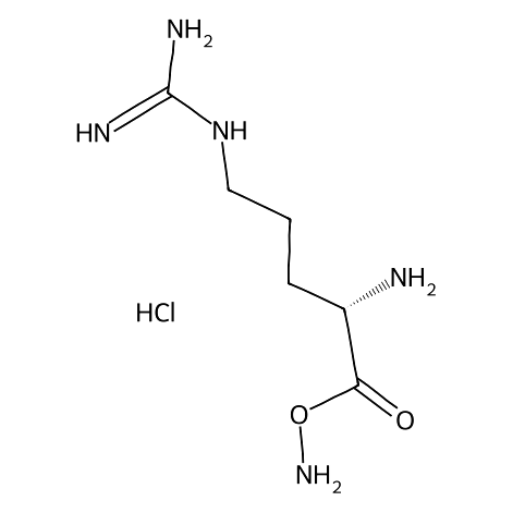 Cl.N=C(N)NCCC[C@H](N)C(=O)ON